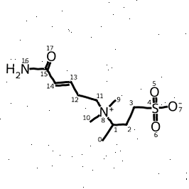 CC(CCS(=O)(=O)[O-])[N+](C)(C)CCC=CC(N)=O